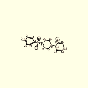 Cc1ccc(S(=O)(=O)N2CCC(C3C=CCC=C3Cl)CC2)cc1